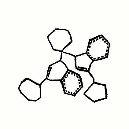 C1=C(C2CCCC2)c2ccccc2C1C1(C2C=C(C3CCCC3)c3ccccc32)CCCCC1